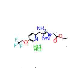 CCOC(=O)Cn1cc([C@@H](N)c2ccc(OCC(F)(F)F)cn2)nn1.Cl.Cl